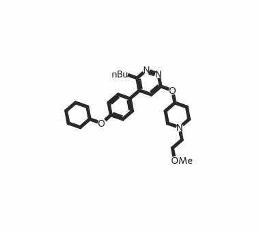 CCCCc1nnc(OC2CCN(CCOC)CC2)cc1-c1ccc(OC2CCCCC2)cc1